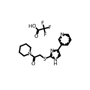 O=C(CSc1nc(-c2cccnc2)c[nH]1)N1CCCCC1.O=C(O)C(F)(F)F